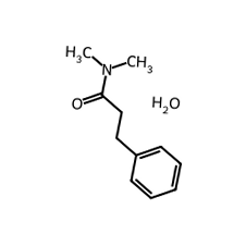 CN(C)C(=O)CCc1ccccc1.O